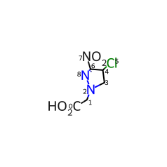 O=C(O)CN1CC(Cl)C([N+](=O)[O-])=N1